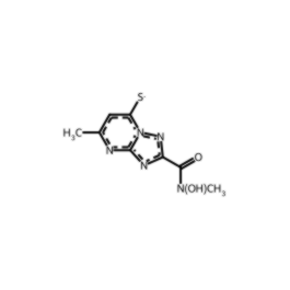 Cc1cc([S])n2nc(C(=O)N(C)O)nc2n1